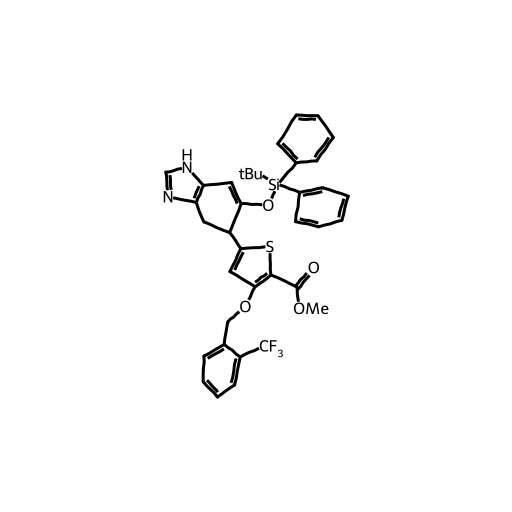 COC(=O)c1sc(C2Cc3nc[nH]c3C=C2O[Si](c2ccccc2)(c2ccccc2)C(C)(C)C)cc1OCc1ccccc1C(F)(F)F